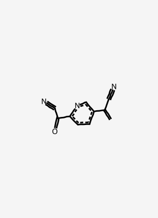 C=C(C#N)c1ccc(C(=O)C#N)nc1